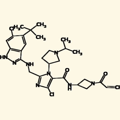 C=CC(=O)N1CC(NC(=O)c2c(Cl)nc(CNc3n[nH]c4cc(Cl)c(C(C)(C)C)cc34)n2C2CCN(C(C)C)C2)C1